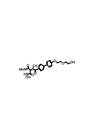 CNC(=O)C(C(=O)NO)N(C)C(=O)c1ccc(-c2ccc(OCCOCCO)cc2)cc1